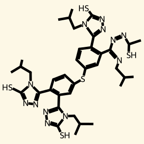 CC(C)C/N=C(/N=N\C(C)S)c1cc(Sc2ccc(-c3nnc(S)n3CC(C)C)c(-c3nnc(S)n3CC(C)C)c2)ccc1-c1nnc(S)n1CC(C)C